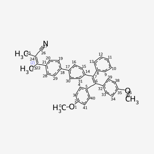 COc1ccc(C(=C(c2ccccc2)c2ccc(-c3ccc(/C(C)=C(/C)C#N)cc3)cc2)c2ccc(OC)cc2)cc1